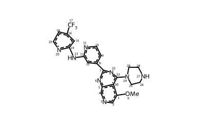 COc1cncc2nc(-c3ccnc(Nc4cc(C(F)(F)F)ccn4)c3)nc(N3CCNCC3)c12